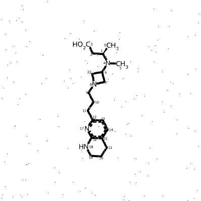 C[C@H](CC(=O)O)N(C)C1CN(CCCc2ccc3c(n2)NCCC3)C1